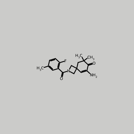 Cc1ccc(F)c(C(=O)N2CC3(C=C(N)C(=O)C(C)(C)C3)C2)c1